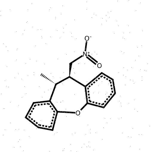 C[C@H]1c2ccccc2Oc2ccccc2[C@@H]1C[N+](=O)[O-]